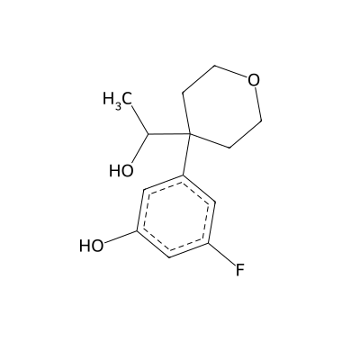 CC(O)C1(c2cc(O)cc(F)c2)CCOCC1